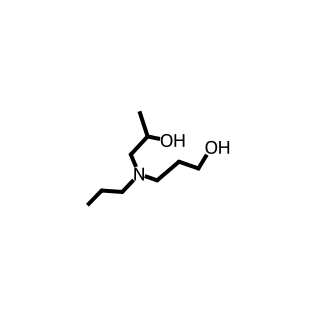 CCCN(CCCO)CC(C)O